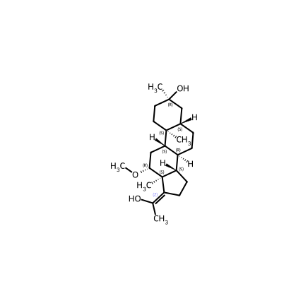 CO[C@@H]1C[C@H]2[C@@H](CC[C@H]3C[C@](C)(O)CC[C@@]32C)[C@@H]2CC/C(=C(\C)O)[C@@]12C